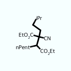 CCCCCC(C(=O)OCC)C(C#N)(CCC(C)C)C(=O)OCC